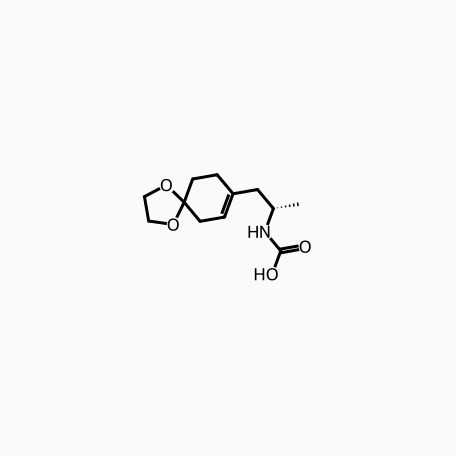 C[C@@H](CC1=CCC2(CC1)OCCO2)NC(=O)O